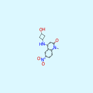 Cn1c(=O)cc(NC2CC(O)C2)c2cc([N+](=O)[O-])ccc21